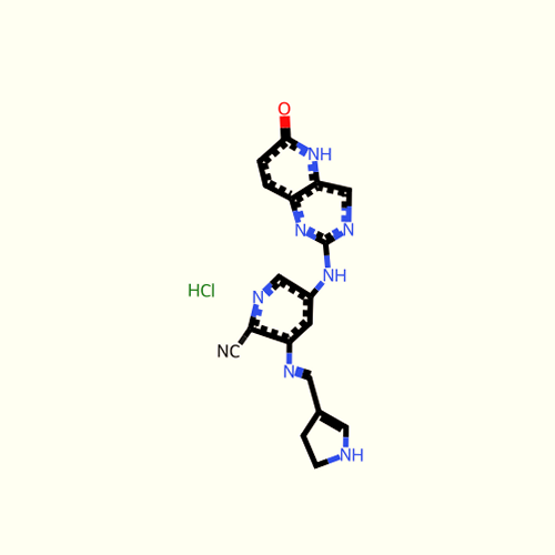 Cl.N#Cc1ncc(Nc2ncc3[nH]c(=O)ccc3n2)cc1N=CC1=CNCC1